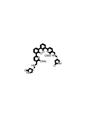 COc1nc(-c2cccc(-c3cccc(-c4ccc(CNC[C@@H]5CNC(=O)C5)c(OC)n4)c3Cl)c2Cl)ccc1CNC[C@@H]1CNC(=O)C1